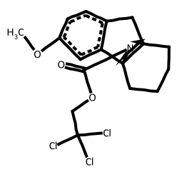 COc1ccc2c(c1)C13CCCCC1(CCCN3C(=O)OCC(Cl)(Cl)Cl)C2